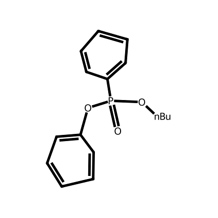 CCCCOP(=O)(Oc1ccccc1)c1ccccc1